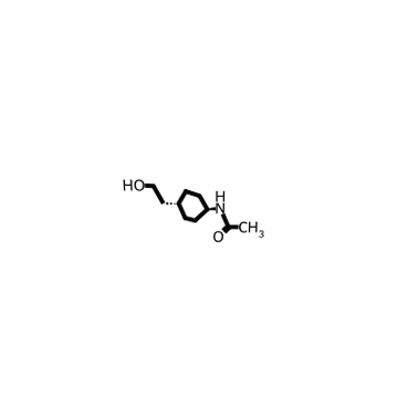 CC(=O)N[C@H]1CC[C@H](CCO)CC1